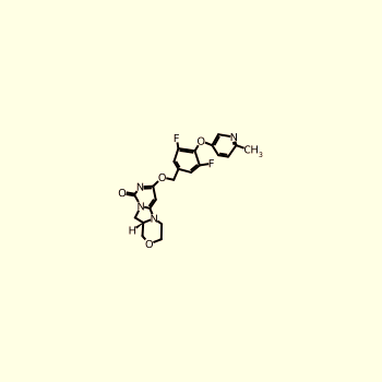 Cc1ccc(Oc2c(F)cc(COc3cc4n(c(=O)n3)C[C@H]3COCCN43)cc2F)cn1